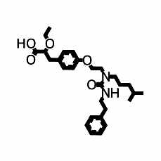 CCOC(Cc1ccc(OCCN(CCCC(C)C)C(=O)NCCc2ccccc2)cc1)C(=O)O